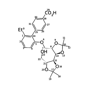 CCc1cccc(OC[C@@H]2OC(C)(C)O[C@H]2[C@H]2OC(C)(C)O[C@@H]2CO)c1-c1ccc(C(=O)O)cc1